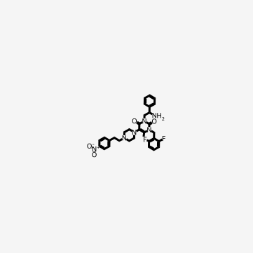 Cc1c(N2CCN(CCc3ccc([N+](=O)[O-])cc3)CC2)c(=O)n(CC(N)c2ccccc2)c(=O)n1Cc1c(F)cccc1F